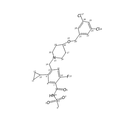 CS(=O)(=O)NC(=O)c1cc(C2CC2)c(CN2CCC(OCc3cc(Cl)cc(Cl)c3)CC2)cc1F